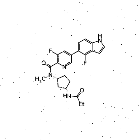 CCC(=O)N[C@H]1CC[C@@H](N(C)C(=O)c2ncc(-c3ccc4[nH]ccc4c3F)cc2F)C1